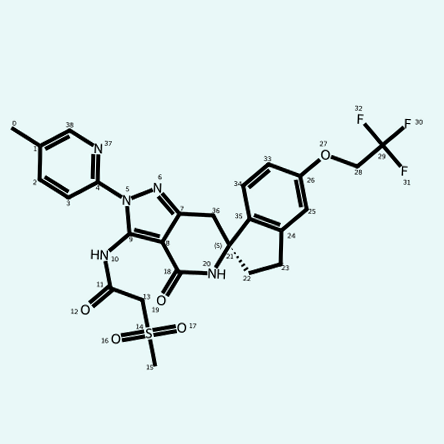 Cc1ccc(-n2nc3c(c2NC(=O)CS(C)(=O)=O)C(=O)N[C@@]2(CCc4cc(OCC(F)(F)F)ccc42)C3)nc1